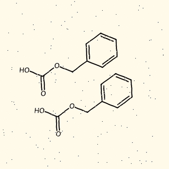 O=C(O)OCc1ccccc1.O=C(O)OCc1ccccc1